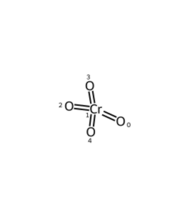 [O]=[Cr](=[O])(=[O])=[O]